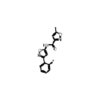 Cc1cc(C(=O)Nc2cc(-c3ccccc3F)no2)no1